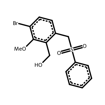 COc1c(Br)ccc(CS(=O)(=O)c2ccccc2)c1CO